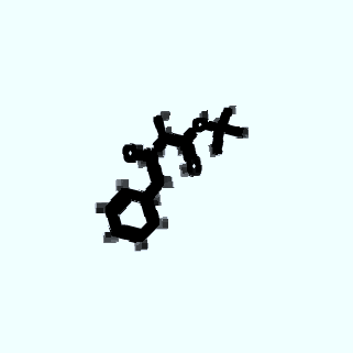 C[C@@H](C(=O)OC(C)(C)C)/[N+]([O-])=C/c1ccccc1